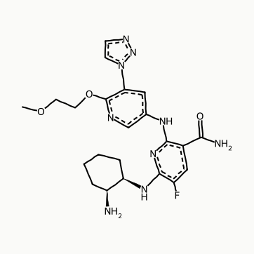 COCCOc1ncc(Nc2nc(N[C@@H]3CCCC[C@@H]3N)c(F)cc2C(N)=O)cc1-n1ccnn1